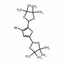 CC1(C)OB(c2cc(C#N)c(B3OC(C)(C)C(C)(C)O3)s2)OC1(C)C